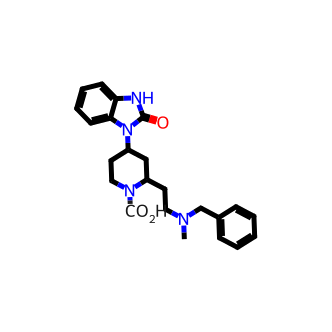 CN(CCC1CC(n2c(=O)[nH]c3ccccc32)CCN1C(=O)O)Cc1ccccc1